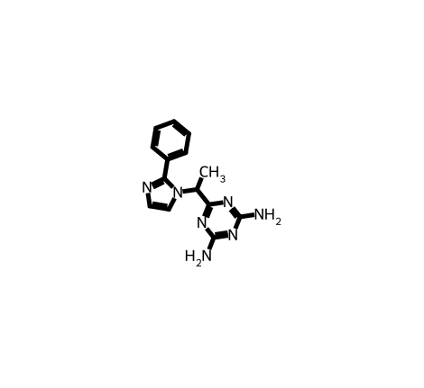 CC(c1nc(N)nc(N)n1)n1ccnc1-c1ccccc1